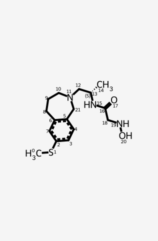 CSc1ccc2c(c1)CCCN(C[C@H](C)NC(=O)CNO)C2